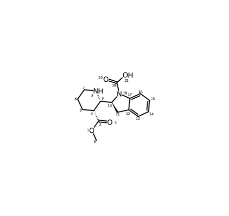 COC(=O)[C@@H]1CCCN[C@@H]1[C@@H]1Cc2ccccc2N1C(=O)O